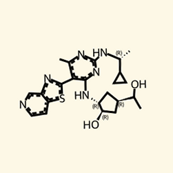 Cc1nc(N[C@H](C)C2CC2)nc(N[C@@H]2C[C@@H](C(C)O)C[C@H]2O)c1-c1nc2cnccc2s1